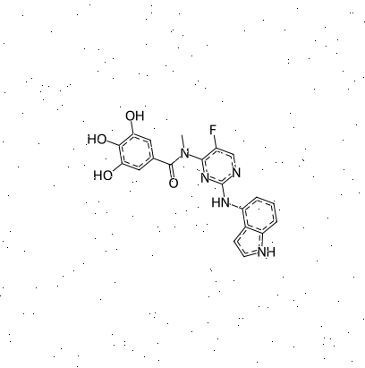 CN(C(=O)c1cc(O)c(O)c(O)c1)c1nc(Nc2cccc3[nH]ccc23)ncc1F